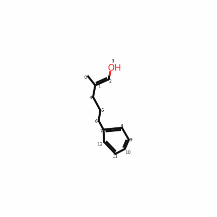 CC(=CO)CCCc1ccccc1